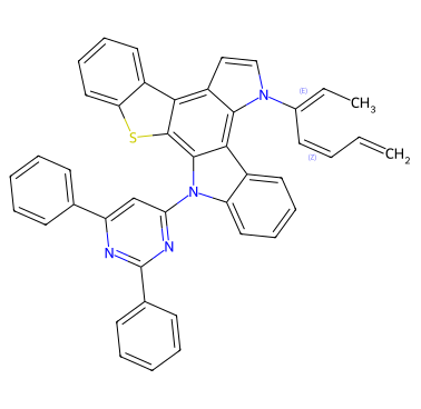 C=C/C=C\C(=C/C)n1ccc2c3c4ccccc4sc3c3c(c4ccccc4n3-c3cc(-c4ccccc4)nc(-c4ccccc4)n3)c21